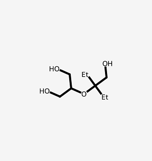 CCC(CC)(CO)OC(CO)CO